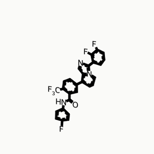 O=C(Nc1ccc(F)cc1)c1cc(-c2cccn3c(-c4cccc(F)c4F)ncc23)ccc1C(F)(F)F